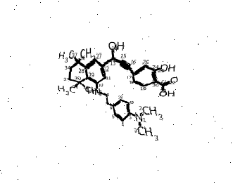 CN(C)c1ccc(CCNc2cc(C(O)C#Cc3ccc(C(=O)O)c(O)c3)cc3c2C(C)(C)CCC3(C)C)cc1